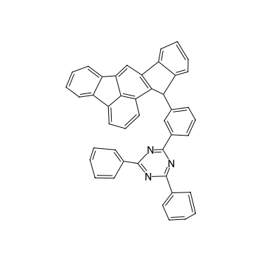 c1ccc(-c2nc(-c3ccccc3)nc(-c3cccc(C4c5ccccc5-c5cc6c7c(cccc7c54)-c4ccccc4-6)c3)n2)cc1